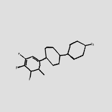 CCC1CCC(C2CCC(C3=CC(F)=C(F)C(F)C3C)CC2)CC1